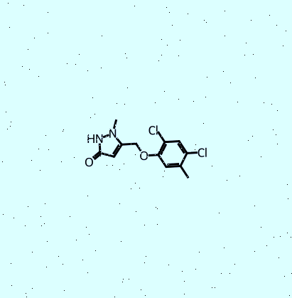 Cc1cc(OCc2cc(=O)[nH]n2C)c(Cl)cc1Cl